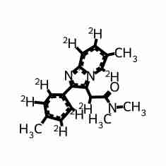 [2H]c1c([2H])c(-c2nc3c([2H])c([2H])c(C)c([2H])n3c2C([2H])C(=O)N(C)C)c([2H])c([2H])c1C